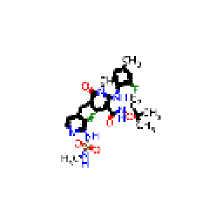 CNS(=O)(=O)Nc1nccc(Cc2cc(C(=O)NOC(C)(C)C)c(Nc3ccc(C)cc3F)n(C)c2=O)c1F